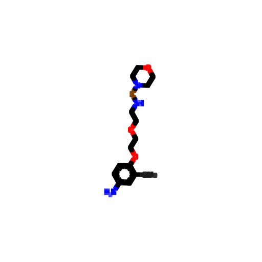 COc1cc(N)ccc1OCCOCCNSN1CCOCC1